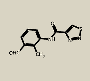 Cc1c(C=O)cccc1NC(=O)c1csnn1